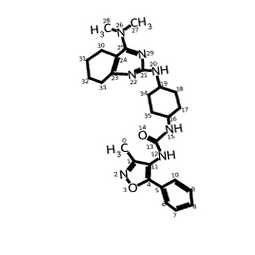 Cc1noc(-c2ccccc2)c1NC(=O)NC1CCC(Nc2nc3c(c(N(C)C)n2)CCCC3)CC1